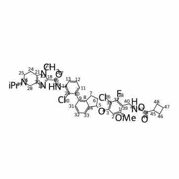 COc1cc(OC2CCc3c(-c4cccc(NC(=O)c5nc6c(n5C)CCN(C(C)C)C6)c4Cl)cccc32)c(Cl)c(F)c1CNOC(=O)C1CCC1